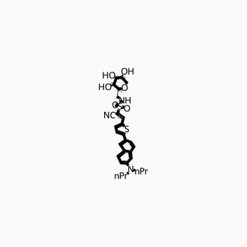 CCCN(CCC)c1ccc2cc(-c3ccc(/C=C(\C#N)S(=O)(=O)NC[C@H]4OC[C@H](O)[C@@H](O)[C@@H]4O)s3)ccc2c1